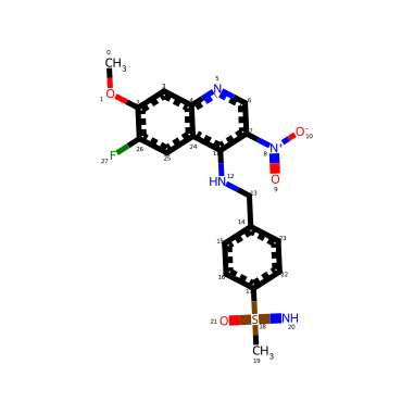 COc1cc2ncc([N+](=O)[O-])c(NCc3ccc(S(C)(=N)=O)cc3)c2cc1F